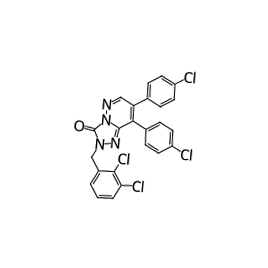 O=c1n(Cc2cccc(Cl)c2Cl)nc2c(-c3ccc(Cl)cc3)c(-c3ccc(Cl)cc3)cnn12